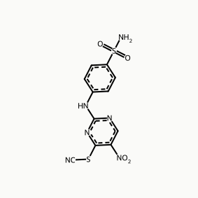 N#CSc1nc(Nc2ccc(S(N)(=O)=O)cc2)ncc1[N+](=O)[O-]